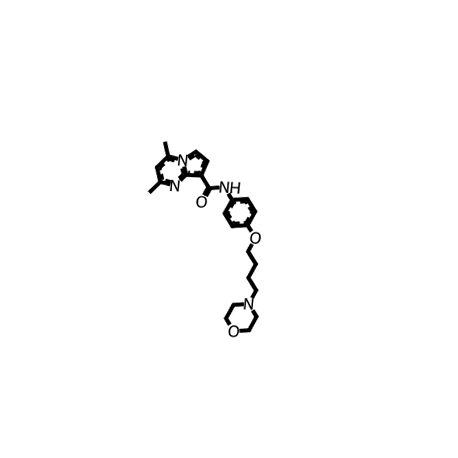 Cc1cc(C)n2ccc(C(=O)Nc3ccc(OCCCCN4CCOCC4)cc3)c2n1